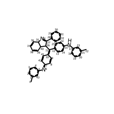 Cc1cccc(N=C2C=CC(=C(c3ccc(Nc4cccc(C)c4)cc3)C3C(c4ccccc4)=NC4C=CC=CC43)C=C2)c1